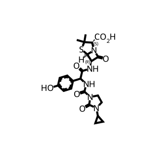 CC1(C)S[C@@H]2[C@H](NC(=O)C(NC(=O)N3CCN(C4CC4)C3=O)c3ccc(O)cc3)C(=O)N2[C@H]1C(=O)O